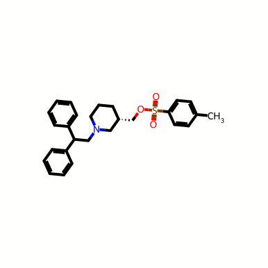 Cc1ccc(S(=O)(=O)OC[C@H]2CCCN(CC(c3ccccc3)c3ccccc3)C2)cc1